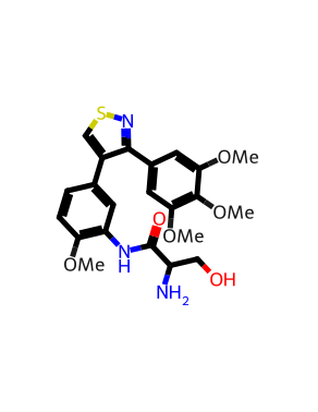 COc1ccc(-c2csnc2-c2cc(OC)c(OC)c(OC)c2)cc1NC(=O)C(N)CO